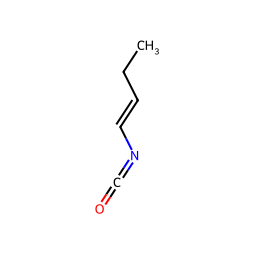 CC/C=C/N=C=O